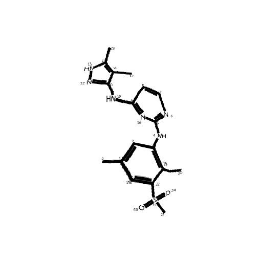 Cc1cc(Nc2nccc(Nc3n[nH]c(C)c3C)n2)c(C)c(S(C)(=O)=O)c1